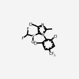 Cc1nc(Cl)c([S+]([O-])C(F)F)n1-c1c(Cl)cc(C(F)(F)F)cc1Cl